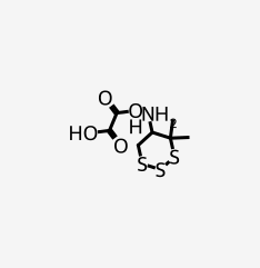 CC1(C)SSSCC1N.O=C(O)C(=O)O